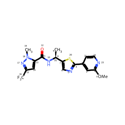 COc1cc(-c2ncc([C@H](C)NC(=O)c3cc(C(F)(F)F)nn3C)s2)ccn1